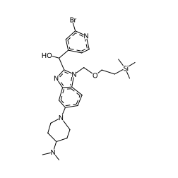 CN(C)C1CCN(c2ccc3c(c2)nc(C(O)c2ccnc(Br)c2)n3COCC[Si](C)(C)C)CC1